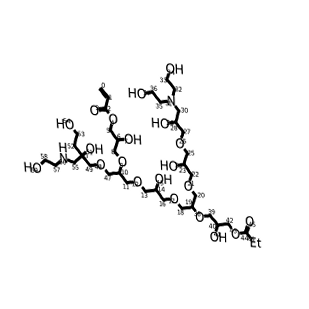 C=CC(=O)OCC(O)COC(COCC(O)COCC(COCC(O)COCC(O)CN(CCO)CCO)OCC(O)COC(=O)CC)COCC(O)(CCO)CNCCO